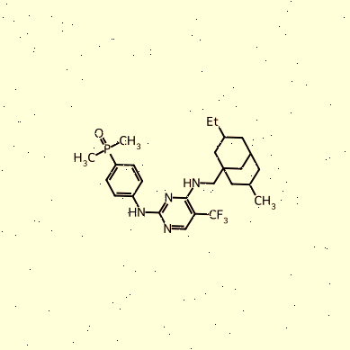 CCC1CC2CC(C)CC(CNc3nc(Nc4ccc(P(C)(C)=O)cc4)ncc3C(F)(F)F)(C1)C2